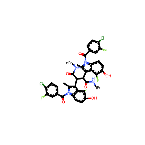 CCCNC(=O)C(c1c(C)n(C(=O)c2ccc(Cl)c(F)c2)c2ccc(O)c(F)c12)C(C(=O)NC(C)C)c1c(C)n(C(=O)c2ccc(Cl)c(F)c2)c2ccc(O)c(F)c12